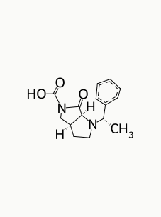 C[C@@H](c1ccccc1)N1CC[C@H]2CN(C(=O)O)C(=O)[C@H]21